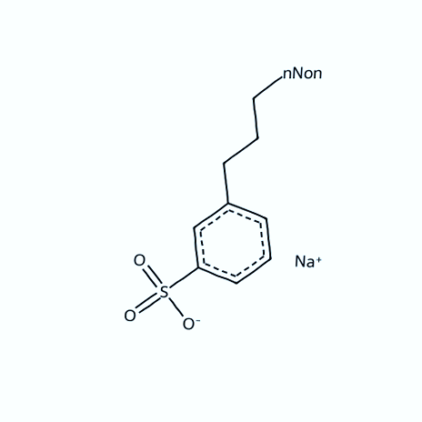 CCCCCCCCCCCCc1cccc(S(=O)(=O)[O-])c1.[Na+]